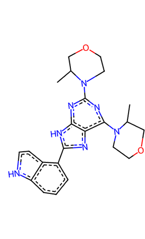 CC1COCCN1c1nc(N2CCOCC2C)c2nc(-c3cccc4[nH]ccc34)[nH]c2n1